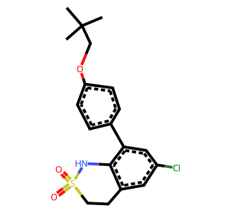 CC(C)(C)COc1ccc(-c2cc(Cl)cc3c2NS(=O)(=O)CC3)cc1